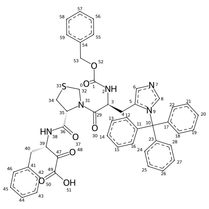 O=C(N[C@@H](Cc1cncn1C(c1ccccc1)(c1ccccc1)c1ccccc1)C(=O)N1CSC[C@H]1C(=O)N[C@@H](Cc1ccccc1)C(=O)C(=O)O)OCc1ccccc1